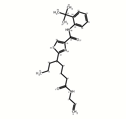 C=CCNC(=O)CCCC(CCC)c1nc(C(=O)Nc2ccccc2C(C)(C)C)cs1